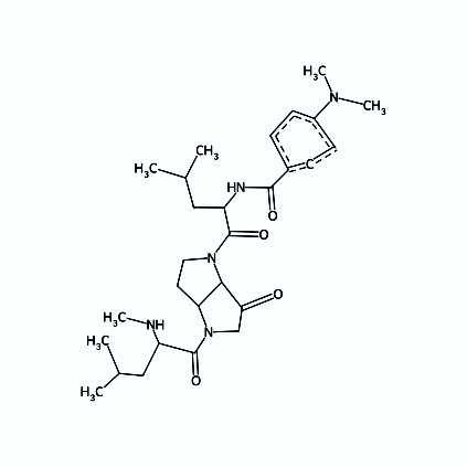 CNC(CC(C)C)C(=O)N1CC(=O)C2C1CCN2C(=O)C(CC(C)C)NC(=O)c1ccc(N(C)C)cc1